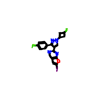 Fc1ccc(-c2nn(C3CC(F)C3)cc2-c2ncc3cc(I)oc3n2)cc1